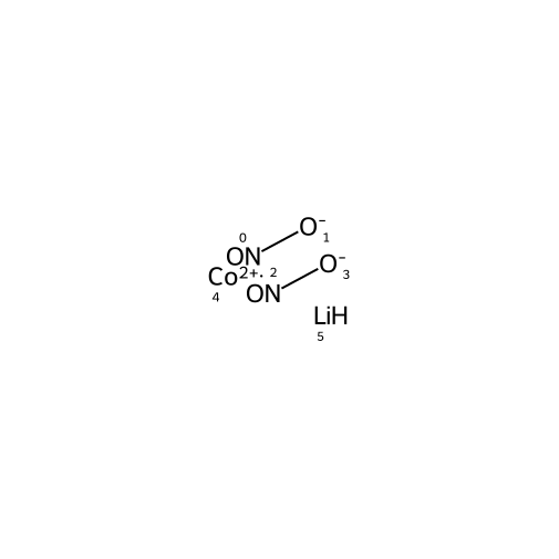 O=N[O-].O=N[O-].[Co+2].[LiH]